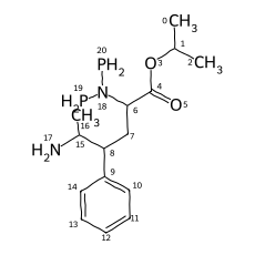 CC(C)OC(=O)C(CC(c1ccccc1)C(C)N)N(P)P